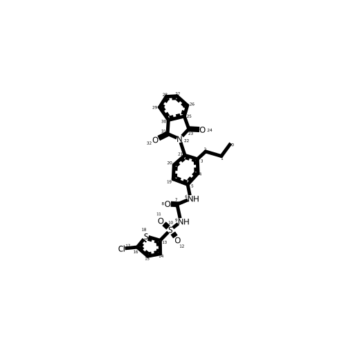 CCCc1cc(NC(=O)NS(=O)(=O)c2ccc(Cl)s2)ccc1N1C(=O)c2ccccc2C1=O